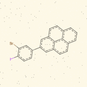 Brc1cc(-c2cc3ccc4cccc5ccc(c2)c3c45)ccc1I